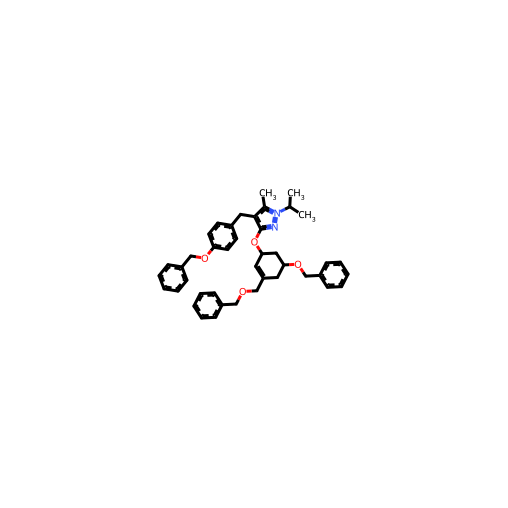 Cc1c(Cc2ccc(OCc3ccccc3)cc2)c(OC2C=C(COCc3ccccc3)CC(OCc3ccccc3)C2)nn1C(C)C